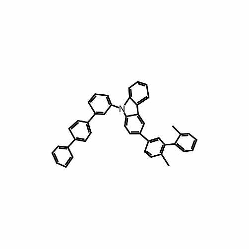 Cc1ccccc1-c1cc(-c2ccc3c(c2)c2ccccc2n3-c2cccc(-c3ccc(-c4ccccc4)cc3)c2)ccc1C